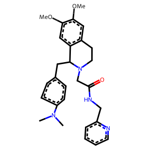 COc1cc2c(cc1OC)C(Cc1ccc(N(C)C)cc1)N(CC(=O)NCc1ccccn1)CC2